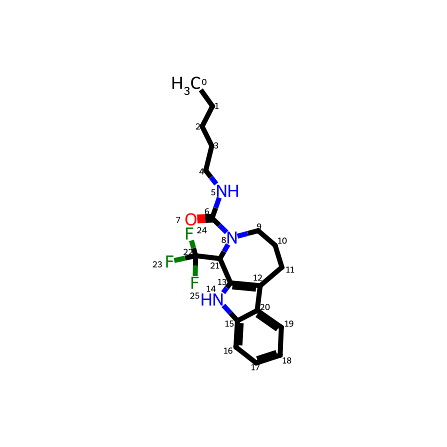 CCCCCNC(=O)N1CCCc2c([nH]c3ccccc23)C1C(F)(F)F